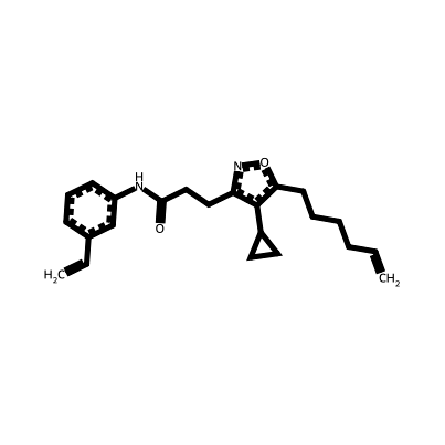 C=CCCCCc1onc(CCC(=O)Nc2cccc(C=C)c2)c1C1CC1